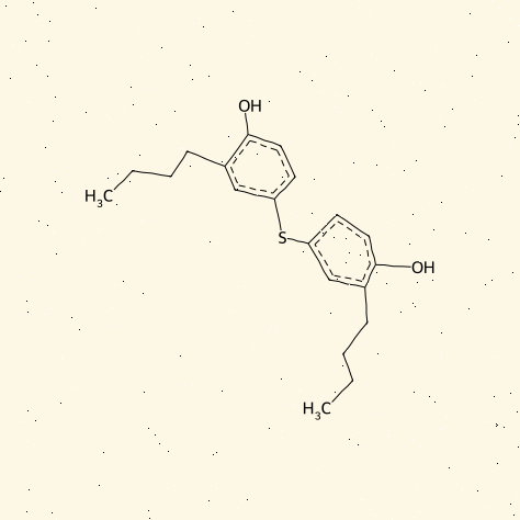 CCCCc1cc(Sc2ccc(O)c(CCCC)c2)ccc1O